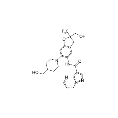 O=C(Nc1cc2c(cc1N1CCC(CO)CC1)OC(CO)(C(F)(F)F)C2)c1cnn2cccnc12